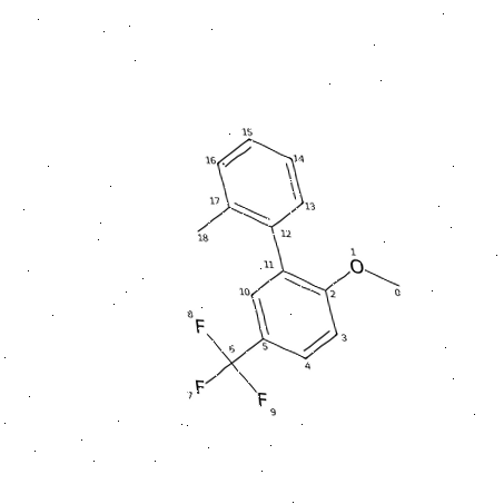 COc1ccc(C(F)(F)F)cc1-c1ccc[c]c1C